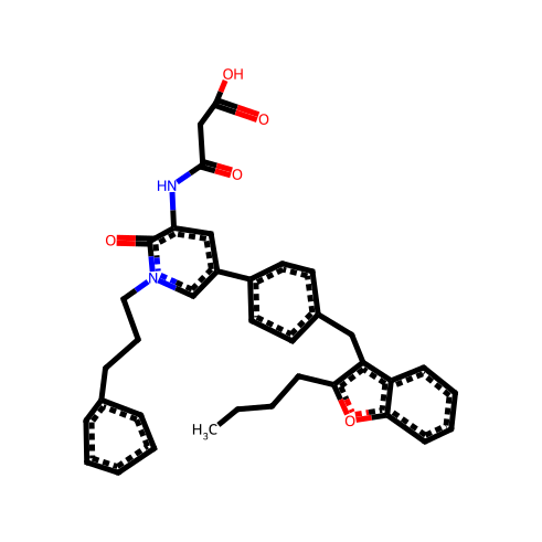 CCCCc1oc2ccccc2c1Cc1ccc(-c2cc(NC(=O)CC(=O)O)c(=O)n(CCCc3ccccc3)c2)cc1